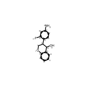 Nc1ccc(C2COc3ccccc3C2O)c(F)c1